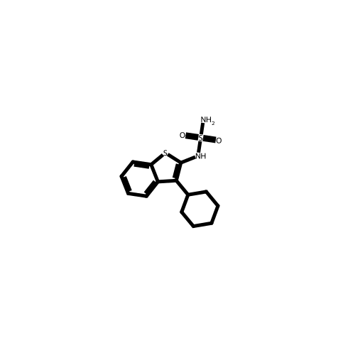 NS(=O)(=O)Nc1sc2ccccc2c1C1CCCCC1